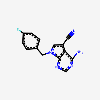 N#Cc1cn(Cc2ccc(F)cc2)c2ncnc(N)c12